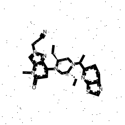 CC[C@H]1CN(C(C)c2ccc3ncsc3n2)[C@H](CC)CN1c1cc(=O)n(C)c2cn(CC#N)nc12